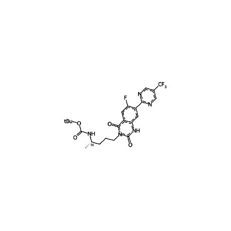 C[C@@H](CCCn1c(=O)[nH]c2cc(-c3ncc(C(F)(F)F)cn3)c(F)cc2c1=O)NC(=O)OC(C)(C)C